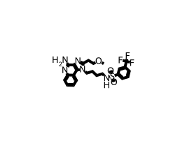 COCCc1nc2c(N)nc3ccccc3c2n1CCCCNS(=O)(=O)c1cccc(C(F)(F)F)c1